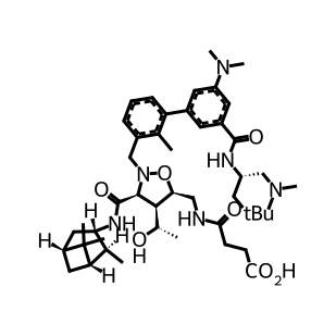 Cc1c(CN2O[C@@H](CNC(=O)CCC(=O)O)[C@@H]([C@H](C)O)[C@H]2C(=O)N[C@H]2C[C@H]3C[C@@H]([C@@H]2C)C3(C)C)cccc1-c1cc(C(=O)N[C@H](CN(C)C)CC(C)(C)C)cc(N(C)C)c1